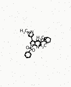 Cn1cc(-c2cn(S(=O)(=O)c3ccccc3)c3ncc(C4=CC5CC[C@@]4(C)C5(C)C)cc23)cn1